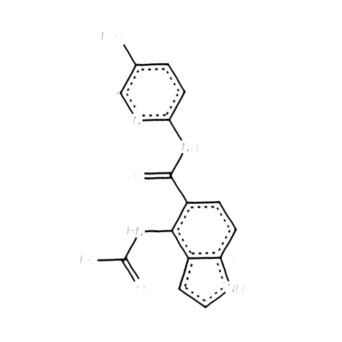 CC(=O)Nc1c(C(=O)Nc2ccc(C)cn2)ccc2[nH]ccc12